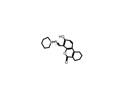 O=c1oc2c(/C=N/N3CCCCC3)c(O)ccc2c2c1CCCC2